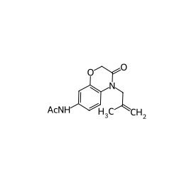 C=C(C)CN1C(=O)COc2cc(NC(C)=O)ccc21